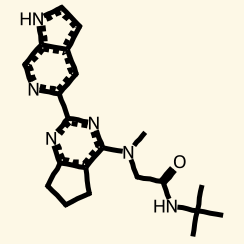 CN(CC(=O)NC(C)(C)C)c1nc(-c2cc3cc[nH]c3cn2)nc2c1CCC2